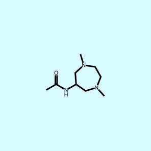 CC(=O)NC1CN(C)CCN(C)C1